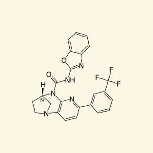 O=C(Nc1nc2ccccc2o1)N1c2nc(-c3cccc(C(F)(F)F)c3)ccc2N2CC[C@H]1C2